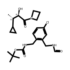 CC(C)(C)OC(=O)NCc1ccc(Cl)cc1CNC=O.C[C@@H](C1CC1)[C@@H](O)C(=O)N1CCC1